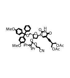 COc1ccc(C(OC[C@H]2O[C@@H](n3cc(C#CC(COC(C)=O)COC(C)=O)c(=O)[nH]c3=O)C[C@H]2OP(OCCC#N)N(C(C)C)C(C)C)(c2ccccc2)c2ccc(OC)cc2)cc1